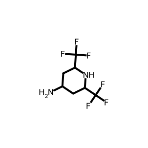 NC1CC(C(F)(F)F)NC(C(F)(F)F)C1